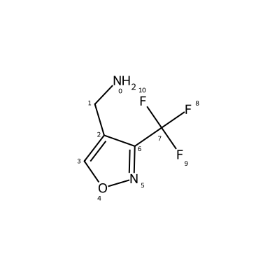 NCc1conc1C(F)(F)F